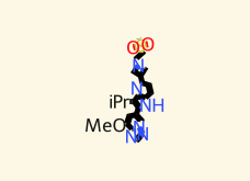 COc1cc(-c2[nH]c3ccc(C4CN(CCS(C)(=O)=O)C4)nc3c2C(C)C)cn2ncnc12